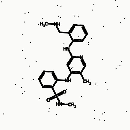 CNCc1ccccc1Nc1cc(Nc2ccccc2S(=O)(=O)NC)c(C)cn1